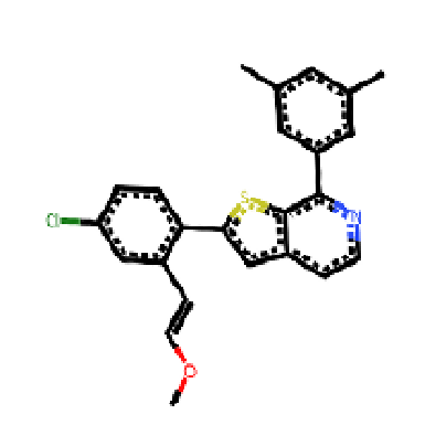 COC=Cc1cc(Cl)ccc1-c1cc2ccnc(-c3cc(C)cc(C)c3)c2s1